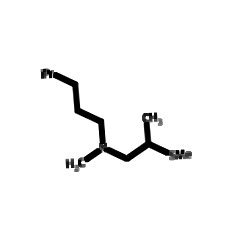 CSC(C)CN(C)CCCC(C)C